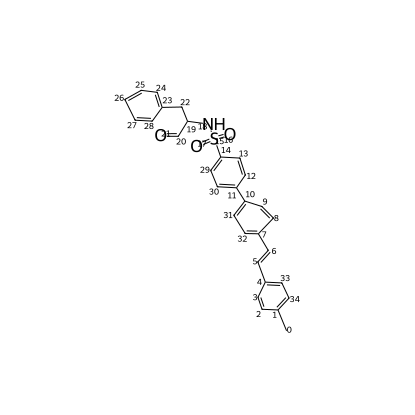 Cc1ccc(/C=C/c2ccc(-c3ccc(S(=O)(=O)NC(C=O)Cc4ccccc4)cc3)cc2)cc1